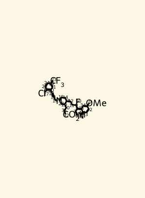 COc1ccc2nccc([C@@H](F)CCC3CCN(CC#Cc4cc(C(F)(F)F)ccc4Cl)CC3CCC(=O)O)c2c1